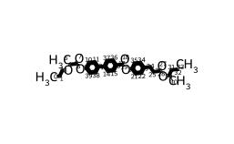 CCCOC(C)C(=O)Oc1ccc(-c2ccc(C(=O)Oc3ccc(CCC(=O)O[C@@H](C)CCC)cc3)cc2)cc1